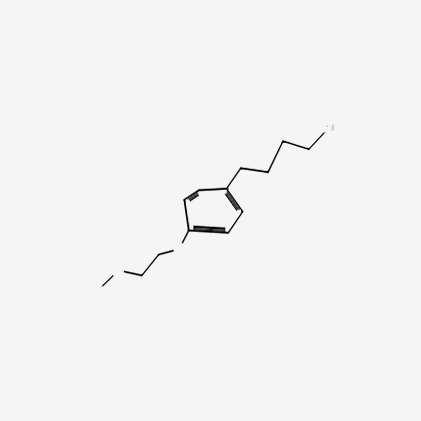 COCCOc1ccc(CCCCN)cc1